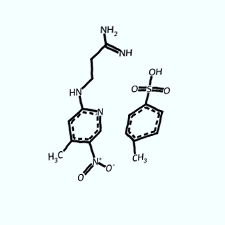 Cc1cc(NCCC(=N)N)ncc1[N+](=O)[O-].Cc1ccc(S(=O)(=O)O)cc1